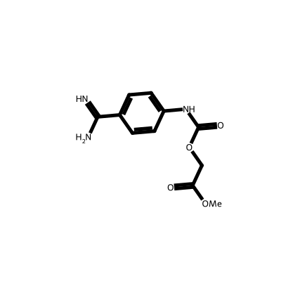 COC(=O)COC(=O)Nc1ccc(C(=N)N)cc1